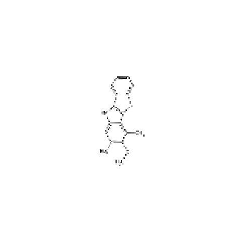 COc1c(C)cc2[nH]c3c(c2c1C)Cc1ccccc1-3